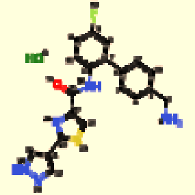 Cl.NCc1ccc(-c2cc(F)ccc2NC(=O)c2csc(-c3cn[nH]c3)n2)cc1